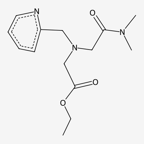 CCOC(=O)CN(CC(=O)N(C)C)Cc1ccccn1